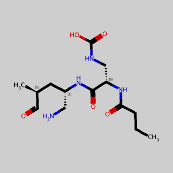 CCCC(=O)N[C@@H](CNC(=O)O)C(=O)N[C@H](CN)C[C@H](C)C=O